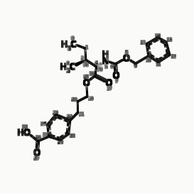 CC[C@H](C)[C@H](NC(=O)OCc1ccccc1)C(=O)OCCCc1ccc(C(=O)O)cc1